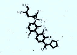 C=C/C(C)=C\C1=C(CC)S1(C)c1ccc(F)c(-c2ccc(C(=C)C3CCCC3)c(C)c2C)c1F